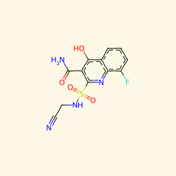 N#CCNS(=O)(=O)c1nc2c(F)cccc2c(O)c1C(N)=O